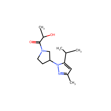 Cc1cc(C(C)C)n(C2CCN(C(=O)C(C)O)C2)n1